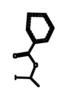 CC(I)OC(=O)c1ccccc1